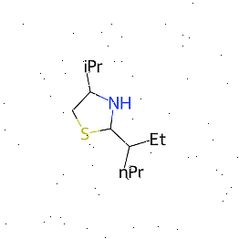 CCCC(CC)C1NC(C(C)C)CS1